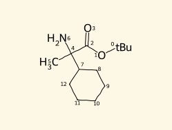 CC(C)(C)OC(=O)C(C)(N)C1CCCCC1